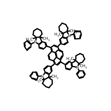 CC12CCCCCC1(C)N(c1ccccc1)c1ccc(-c3cc(-c4ccc5c(c4)C4(C)CCCCCC4(C)N5c4ccccc4)c4ccc5c(-c6ccc7c(c6)C6(C)CCCCCC6(C)N7c6ccccc6)cc(-c6ccc7c(c6)C6(C)CCCCCC6(C)N7c6ccccc6)c6ccc3c4c65)cc12